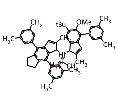 COc1c(C(C)(C)C)cc2c(c1-c1cc(C)cc(C)c1)C=C(C)[CH]2[Hf]([CH]1C(C)=Cc2c(-c3cc(C)cc(C)c3)c3c(c(-c4cc(C)cc(C)c4)c21)CCC3)=[Si](C)C